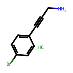 Cl.NCC#Cc1ccc(Br)cc1